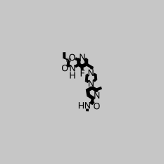 CC[C@H]1Oc2ncc(CN3CCN(c4ccc(C(=O)NC)nc4C)CC3)c(F)c2NC1=O